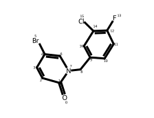 O=c1ccc(Br)cn1Cc1ccc(F)c(Cl)c1